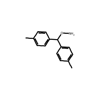 Cc1ccc(C(ON)c2ccc(C)cc2)cc1